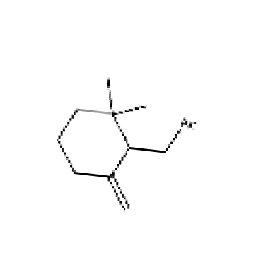 C=C1CCCC(C)(C)C1CC(C)=O